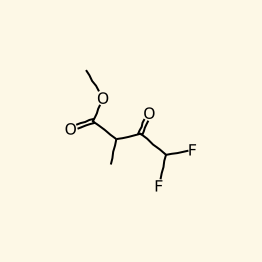 COC(=O)C(C)C(=O)C(F)F